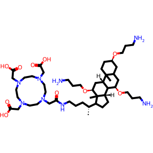 C[C@H](CCCNC(=O)CN1CCN(CC(=O)O)CCN(CC(=O)O)CCN(CC(=O)O)CC1)C1CC[C@H]2C3[C@H](OCCCN)CC4C[C@H](OCCCN)CCC4(C)[C@H]3C[C@H](OCCCN)C12C